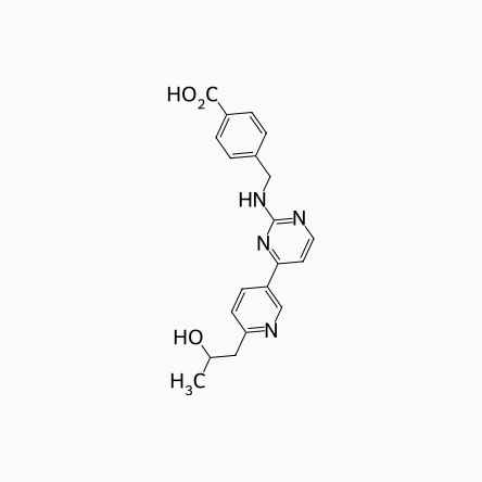 CC(O)Cc1ccc(-c2ccnc(NCc3ccc(C(=O)O)cc3)n2)cn1